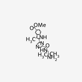 COC(=O)c1ccc2[nH]c(-c3cncc(C(=O)NCC(C)(C)N)n3)c(C)c2c1